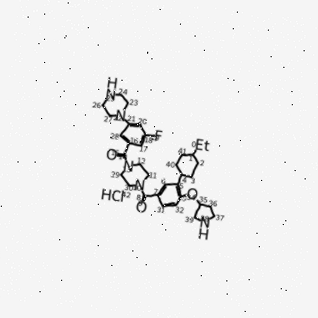 CCC1CCC(c2cc(C(=O)N3CCN(C(=O)c4cc(F)cc(N5CCNCC5)c4)CC3)ccc2OC2CCNC2)CC1.Cl